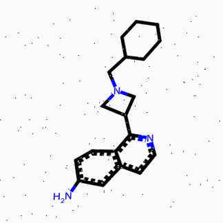 Nc1ccc2c(C3CN(CC4CCCCC4)C3)nccc2c1